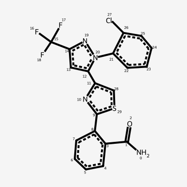 NC(=O)c1ccccc1-c1nc(-c2cc(C(F)(F)F)nn2-c2ccccc2Cl)cs1